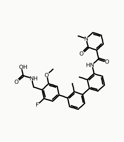 COc1cc(-c2cccc(-c3cccc(NC(=O)c4cccn(C)c4=O)c3C)c2C)cc(F)c1CNC(=O)O